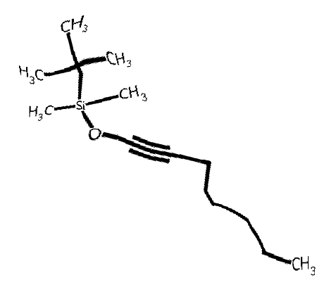 CCCCCC#CO[Si](C)(C)C(C)(C)C